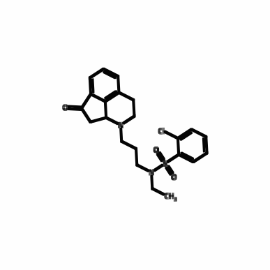 CCN(CCCN1CCc2cccc3c2C1CC3=O)S(=O)(=O)c1ccccc1Cl